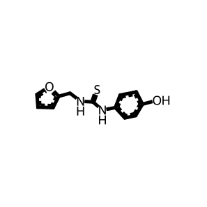 Oc1ccc(NC(=S)NCc2ccco2)cc1